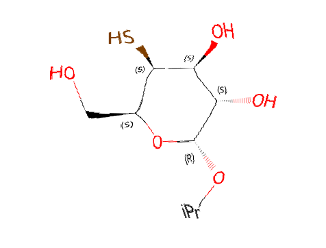 CC(C)O[C@@H]1O[C@@H](CO)[C@@H](S)[C@@H](O)[C@@H]1O